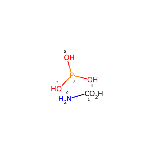 NC(=O)O.OP(O)O